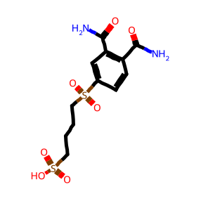 NC(=O)c1ccc(S(=O)(=O)CCCCS(=O)(=O)O)cc1C(N)=O